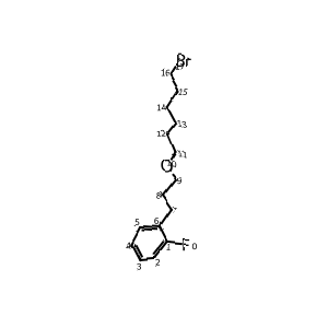 Fc1ccccc1CCCOCCCCCCBr